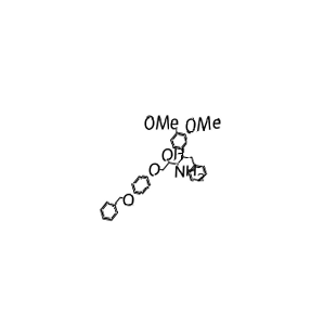 COc1ccc(C(Cc2ccccc2)C(N)C(O)COc2ccc(OCc3ccccc3)cc2)cc1OC